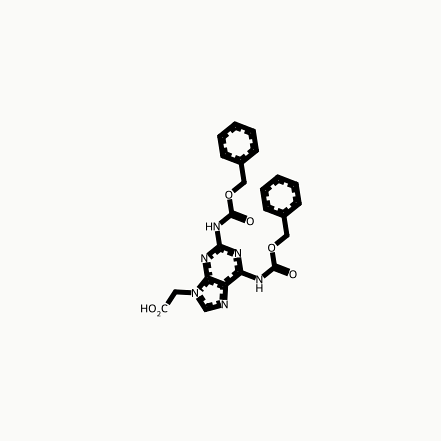 O=C(O)Cn1cnc2c(NC(=O)OCc3ccccc3)nc(NC(=O)OCc3ccccc3)nc21